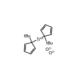 CC(C)(C)[C]1([Ti+4][C]2(C(C)(C)C)C=CC=C2)C=CC=C1.[O-2].[O-2]